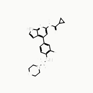 O=C(Nc1cc(-c2ccc(NS(=O)(=O)N3CCOCC3)c(F)c2)c2cc[nH]c2n1)C1CC1